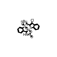 CCCCN(c1sc2ccccc2c1Cl)S(=O)(=O)c1ccccc1C1=NOS(=O)N1